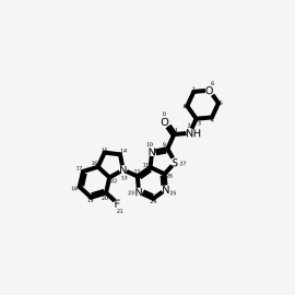 O=C(NC1CCOCC1)c1nc2c(N3CCC4C=CC=C(F)C43)ncnc2s1